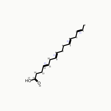 C/C=C/C/C=C/CC/C=C/C/C=C/CCC(=O)O